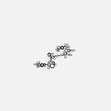 Cc1ncsc1-c1ccc([C@H](C)NC(=O)[C@@H]2C[C@@H](O)CN2C(=O)[C@@H](NC(=O)COCCOCC(=O)NC2(c3ccccn3)CN(C(=O)[C@@H]3CC[C@H]4CCCC[C@H](NC(=O)c5cc6cc(C(F)(F)P(=O)(O)O)ccc6s5)C(=O)N43)C2)C(C)(C)C)cc1